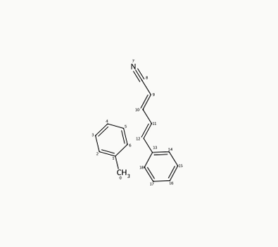 Cc1ccccc1.N#CC=CC=Cc1ccccc1